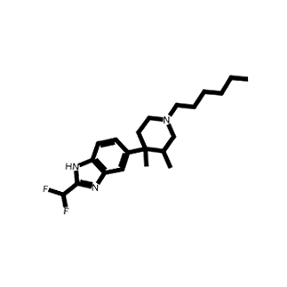 CCCCCCN1CCC(C)(c2ccc3[nH]c(C(F)F)nc3c2)C(C)C1